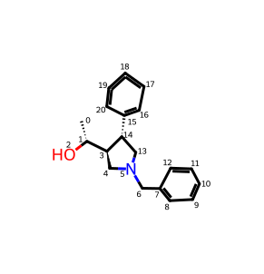 C[C@@H](O)[C@@H]1CN(Cc2ccccc2)C[C@H]1C1=CC=C=C=C1